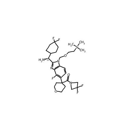 C[Si](C)(C)CCOCn1c([C@@H](N)C2CCC(F)(F)CC2)nc2c(F)c(C3(C(=O)N4CC(F)(F)C4)CCOCC3)ccc21